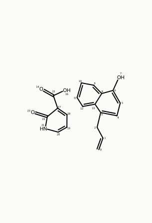 C=CCc1ccc(O)c2ccccc12.O=C(O)c1ccc[nH]c1=O